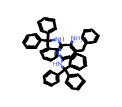 Nc1c(Cc2ccccc2)cc(NC(c2ccccc2)(c2ccccc2)c2ccccc2)nc1NC(c1ccccc1)(c1ccccc1)c1ccccc1